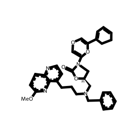 COc1ccc2nccc(CCCN(Cc3ccccc3)C[C@@H]3CN(C4=COC=C(C5=CC=CCC5)O4)C(=O)O3)c2n1